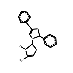 CC1=CSC(N2C=C(c3ccccc3)S[C]2c2ccccc2)N1C